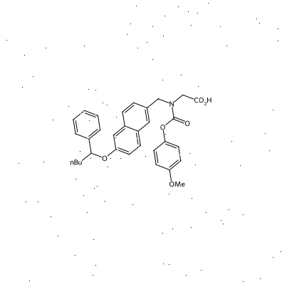 CCCCC(Oc1ccc2cc(CN(CC(=O)O)C(=O)Oc3ccc(OC)cc3)ccc2c1)c1ccccc1